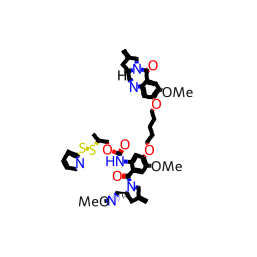 C=C1C[C@H]2C=Nc3cc(OCCCCCOc4cc(NC(=O)OCC(C)SSc5ccccn5)c(C(=O)N5CC(=C)C[C@H]5/C=N/OC)cc4OC)c(OC)cc3C(=O)N2C1